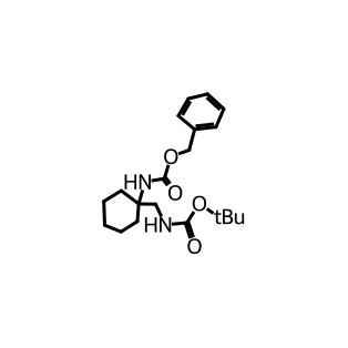 CC(C)(C)OC(=O)NCC1(NC(=O)OCc2ccccc2)CCCCC1